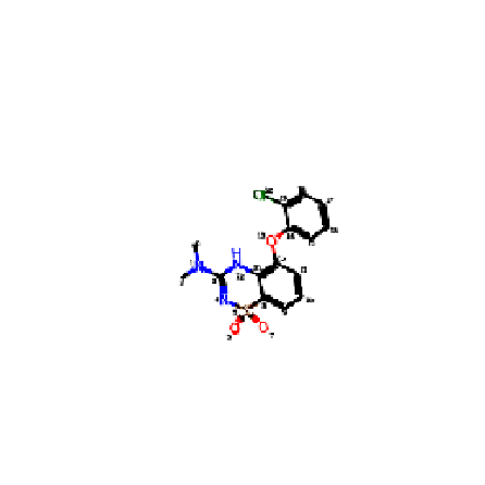 CN(C)C1=NS(=O)(=O)c2cccc(Oc3ccccc3Cl)c2N1